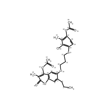 CCCc1cc2oc(=O)c(C)c(OC(C)=O)c2cc1OCCCSc1ccc(OC(C)=O)c(C)c1Cl